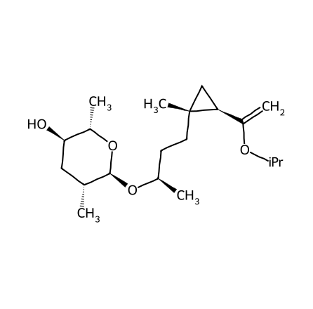 C=C(OC(C)C)[C@@H]1C[C@@]1(C)CC[C@@H](C)O[C@@H]1O[C@@H](C)[C@H](O)C[C@H]1C